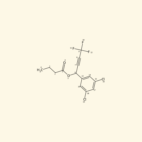 CCCC(=O)OC(C#CC(F)(F)F)c1cc(Cl)cc(Cl)c1